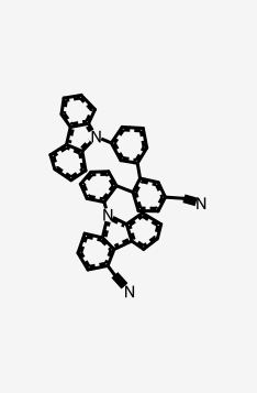 N#Cc1ccc(-c2ccccc2-n2c3ccccc3c3c(C#N)cccc32)c(-c2cccc(-n3c4ccccc4c4ccccc43)c2)c1